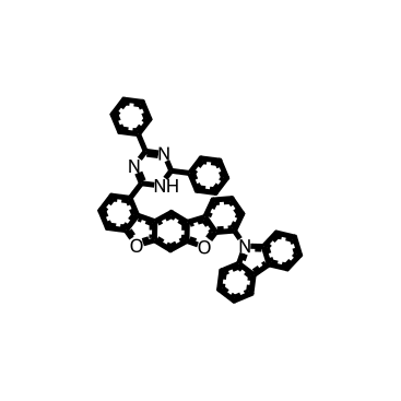 c1ccc(C2=NC(c3ccccc3)NC(c3cccc4oc5cc6oc7c(-n8c9ccccc9c9ccccc98)cccc7c6cc5c34)=N2)cc1